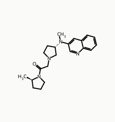 C[C@@H]1CCCN1C(=O)CN1CC[C@H](N(C)c2cnc3ccccc3c2)C1